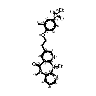 CCN1c2ncc(CCOc3ccc(S(=O)(=O)CC)cc3C)cc2C(=O)N(C)c2cccnc21